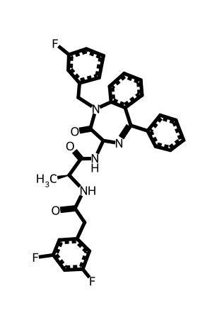 C[C@H](NC(=O)Cc1cc(F)cc(F)c1)C(=O)NC1N=C(c2ccccc2)c2ccccc2N(Cc2cccc(F)c2)C1=O